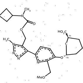 COCc1nc(-c2nnn(C)c2COC(=O)N(C)C2CCC2)ccc1O[C@H]1CCC[C@H](C(=O)O)C1